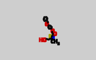 Cc1nc(C(=O)COc2ccc(OCc3ccccc3)cc2)sc1CCO